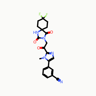 Cn1c(-c2cccc(C#N)c2)cnc1C(=O)CN1C(=O)NC2(CCC(F)(F)CC2)C1=O